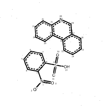 O=[N+]([O-])c1ccccc1S(=O)(=O)O.c1ccc2c(c1)cnc1ccccc12